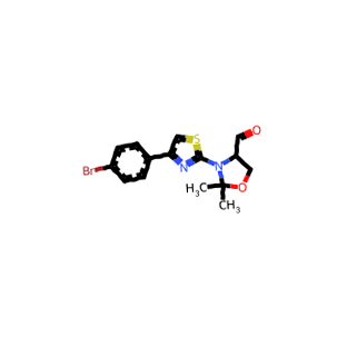 CC1(C)OCC(C=O)N1c1nc(-c2ccc(Br)cc2)cs1